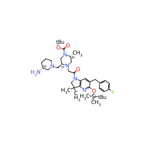 C[C@@H]1CN(CC(=O)N2CC(C)(C)c3nc(O[Si](C)(C)C(C)(C)C)c(Cc4ccc(F)cc4)cc32)[C@@H](CN2CCC[C@@H](N)C2)CN1C(=O)OC(C)(C)C